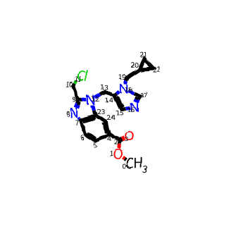 COC(=O)c1ccc2nc(CCl)n(Cc3cncn3CC3CC3)c2c1